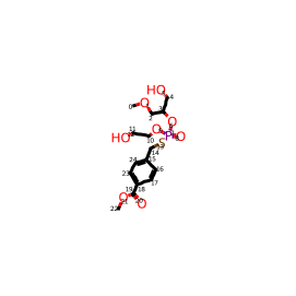 COCC(CO)OP(=O)(OCCO)SCc1ccc(C(=O)OC)cc1